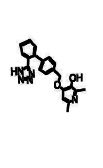 Cc1cc(OCc2ccc(-c3ccccc3-c3nnn[nH]3)cc2)c(O)c(C)n1